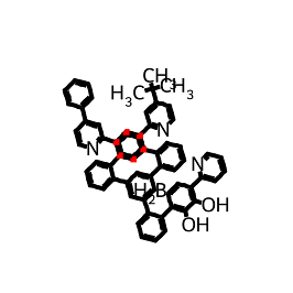 Bc1cc(-c2ccccn2)c(O)c(O)c1-c1ccccc1-c1cc(-c2ccccc2-c2ccc(-c3cc(-c4ccccc4)ccn3)cc2)cc(-c2ccccc2-c2ccc(-c3cc(C(C)(C)C)ccn3)cc2)c1